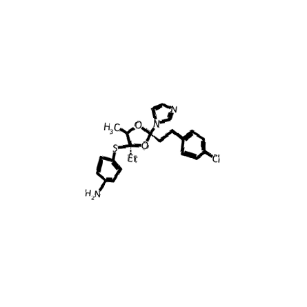 CC[C@@]1(Sc2ccc(N)cc2)O[C@@](CCc2ccc(Cl)cc2)(n2ccnc2)OC1C